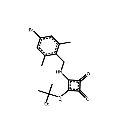 CCC(C)(C)Nc1c(NCc2c(C)cc(Br)cc2C)c(=O)c1=O